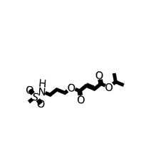 CC(C)OC(=O)/C=C/C(=O)OCCCNS(C)(=O)=O